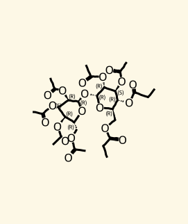 CCC(=O)OC[C@H]1O[C@H](O[C@H]2O[C@H](COC(C)=O)[C@@H](OC(C)=O)[C@H](OC(C)=O)[C@H]2OC(C)=O)[C@H](OC(C)=O)[C@@H](OC(C)=O)[C@@H]1OC(=O)CC